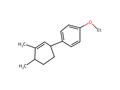 CCOc1ccc(C2C=C(C)C(C)CC2)cc1